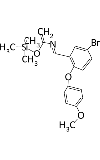 C=C(/N=C/c1cc(Br)ccc1Oc1ccc(OC)cc1)O[Si](C)(C)C